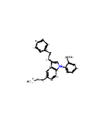 CC(=O)Nc1ccccc1-n1cc(CCc2ccccc2)c2cc(CCC(=O)O)ccc21